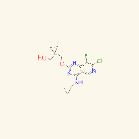 OCC1(COc2nc(NC3CC3)c3cnc(Cl)c(F)c3n2)CC1